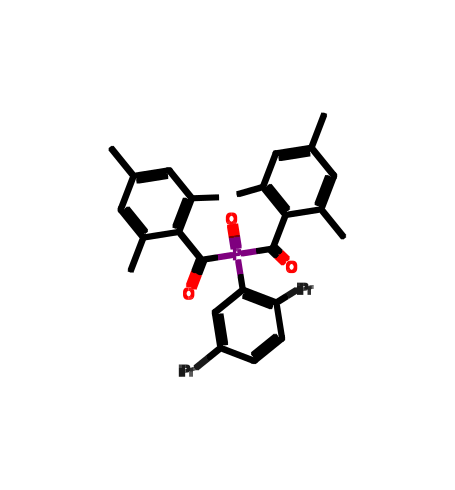 Cc1cc(C)c(C(=O)P(=O)(C(=O)c2c(C)cc(C)cc2C)c2cc(C(C)C)ccc2C(C)C)c(C)c1